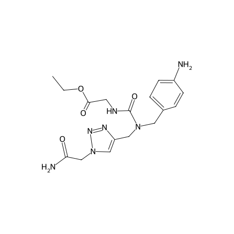 CCOC(=O)CNC(=O)N(Cc1ccc(N)cc1)Cc1cn(CC(N)=O)nn1